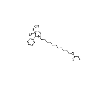 C=CC(=O)OCCCCCCCCCCCN1C=C[N+](CC)(SC#N)C1c1ccccc1